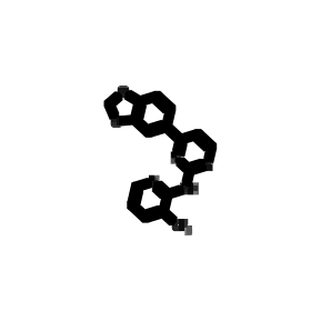 FC(F)(F)c1cccnc1Nc1nccc(-c2ccc3c(c2)OCO3)n1